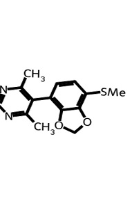 CSc1ccc(-c2c(C)ncnc2C)c2c1OCO2